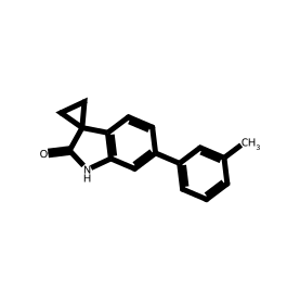 Cc1cccc(-c2ccc3c(c2)NC(=O)C32CC2)c1